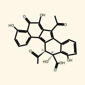 CC(=O)C1=C2C(=C3C1=C(O)C(=O)c1c(O)cccc13)[C@H](C(C)=O)[C@](O)(C(=O)O)c1c(O)cccc12